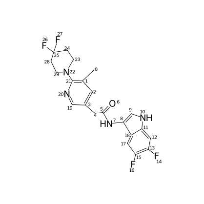 Cc1cc(CC(=O)Nc2c[nH]c3cc(F)c(F)cc23)cnc1N1CCC(F)(F)CC1